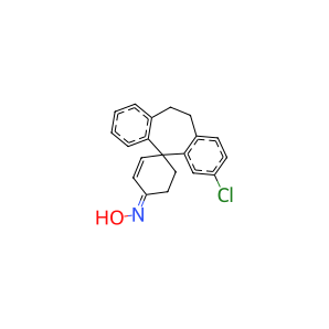 ON=C1C=CC2(CC1)c1ccccc1CCc1ccc(Cl)cc12